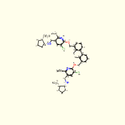 COc1nc(OCc2cccc(-c3cccc(COc4nc(OC)c(CN[C@@H]5CCC[C@@H]5C(=O)O)cc4Cl)c3C)c2C)c(Cl)cc1CN[C@@H]1CCC[C@@H]1C(=O)O